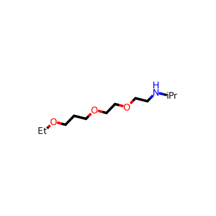 CCOCCCOCCOCCNC(C)C